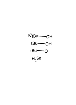 CC(C)(C)O.CC(C)(C)O.CC(C)(C)[O-].[K+].[SeH2]